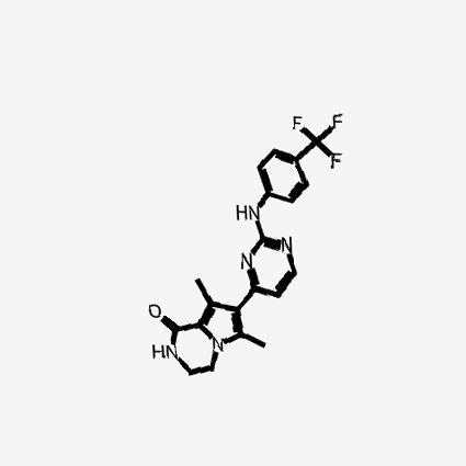 Cc1c(-c2ccnc(Nc3ccc(C(F)(F)F)cc3)n2)c(C)n2c1C(=O)NCC2